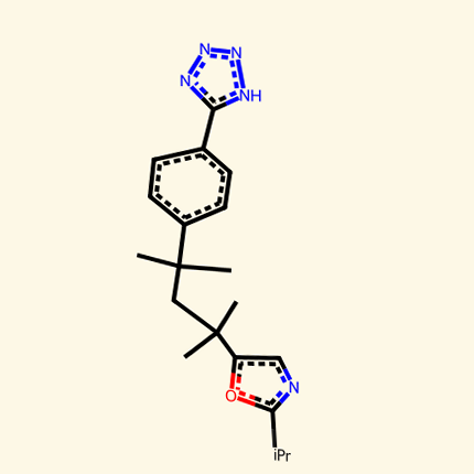 CC(C)c1ncc(C(C)(C)CC(C)(C)c2ccc(-c3nnn[nH]3)cc2)o1